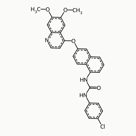 COc1cc2nccc(Oc3ccc4c(NC(=O)Nc5ccc(Cl)cc5)cccc4c3)c2cc1OC